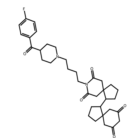 O=C1CC(=O)CC2(CCCC2C2CCCC23CC(=O)N(CCCCN2CCC(C(=O)c4ccc(F)cc4)CC2)C(=O)C3)C1